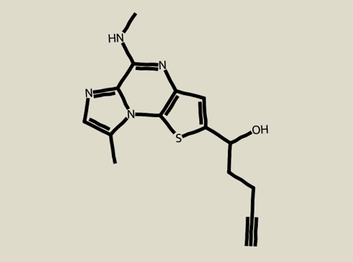 C#CCCC(O)c1cc2nc(NC)c3ncc(C)n3c2s1